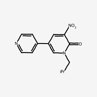 CC(C)Cn1cc(-c2ccncc2)cc([N+](=O)[O-])c1=O